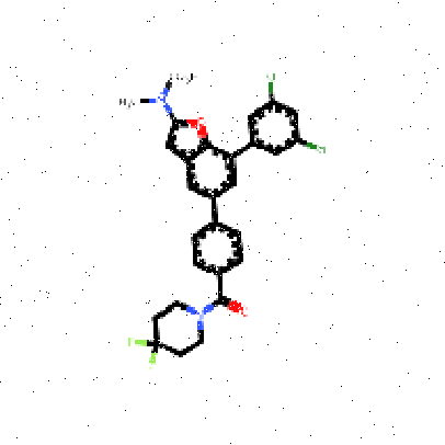 CN(C(=O)O)c1cc2cc(-c3ccc(C(=O)N4CCC(F)(F)CC4)cc3)cc(-c3cc(Cl)cc(Cl)c3)c2o1